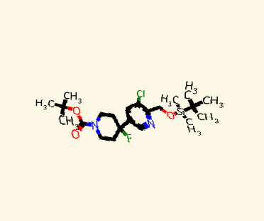 CC(C)(C)OC(=O)N1CCC(F)(c2cnc(CO[Si](C)(C)C(C)(C)C)c(Cl)c2)CC1